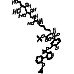 CC(C)(C)OC(=O)[C@H](CCCCNC(O)NC[C@H](O)[C@@H](O)[C@H](O)[C@H](O)CO)NS(=O)(=O)c1ccc(Cl)c(COC2(c3cnccc3-c3ccccc3OC3CC3)CC2)c1